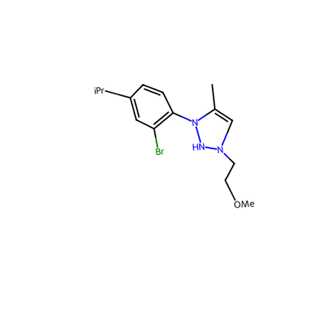 COCCN1C=C(C)N(c2ccc(C(C)C)cc2Br)N1